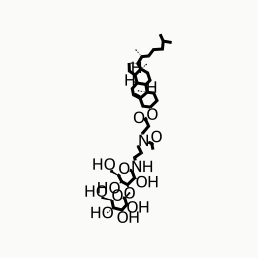 CC(=O)N(CCCNC1O[C@H](CO)[C@@H](O)[C@H](O[C@@H]2O[C@H](CO)[C@@H](O)[C@H](O)[C@H]2O)[C@H]1O)CCC(=O)OC1CC[C@@]2(C)C(=CC[C@H]3[C@@H]4CC[C@H]([C@H](C)CCCC(C)C)[C@@]4(C)CC[C@@H]32)C1